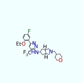 CCOc1ccc(F)cc1-c1cc(C(F)(F)F)c(NC2C[C@@H]3CN(CC4CCOCC4)C[C@@H]3C2)nn1